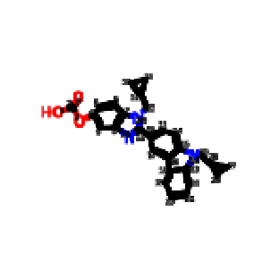 O=C(O)Oc1ccc2c(c1)nc(-c1ccc3c(c1)c1ccccc1n3CC1CC1)n2CC1CC1